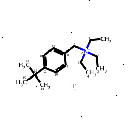 CC[N+](CC)(CC)Cc1ccc(C(C)(C)C)cc1.[I-]